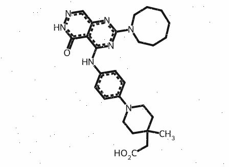 CC1(CC(=O)O)CCN(c2ccc(Nc3nc(N4CCCCCCC4)nc4cn[nH]c(=O)c34)cc2)CC1